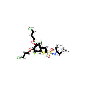 CC[C](CC)NS(=O)(=O)c1cc2c(F)c(OCCCCl)c(OCCCCl)c(F)c2s1